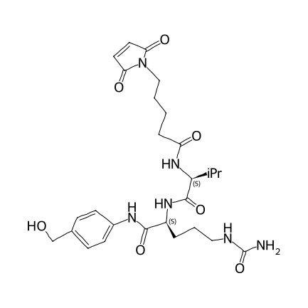 CC(C)[C@H](NC(=O)CCCCN1C(=O)C=CC1=O)C(=O)N[C@@H](CCCNC(N)=O)C(=O)Nc1ccc(CO)cc1